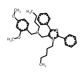 CCCCCn1c(-c2ccccc2)nc(-c2ccccc2)c1CN(CCCC)Cc1ccc(OC)cc1OC